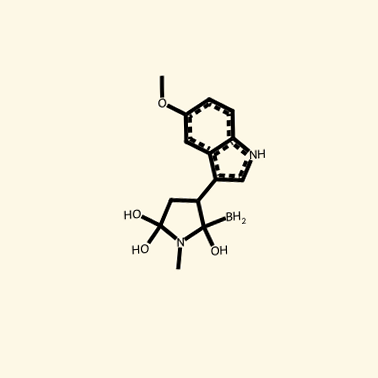 BC1(O)C(c2c[nH]c3ccc(OC)cc23)CC(O)(O)N1C